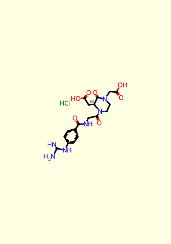 Cl.N=C(N)Nc1ccc(C(=O)NCC(=O)N2CCN(CC(=O)O)C(=O)[C@@H]2CC(=O)O)cc1